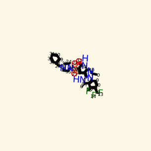 Cc1nc(N[C@H](C)c2cccc(C(F)F)c2F)c2cc(S(=O)(=O)N3CCN(Cc4ccccc4)CC3)c(=O)[nH]c2n1